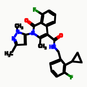 Cc1cc(-n2c(C)c(C(=O)NCc3cccc(F)c3C3CC3)c3cccc(F)c3c2=O)n(C)n1